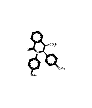 COc1ccc([C@@H]2[C@H](C(=O)O)c3ccccc3C(=O)N2c2ccc(OC)cc2)cc1